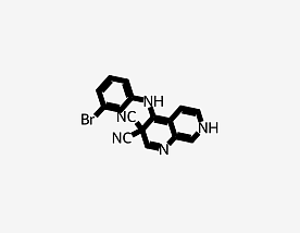 N#CC1(C#N)C=NC2=CNC=CC2=C1Nc1cccc(Br)c1